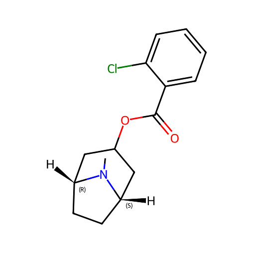 CN1[C@@H]2CC[C@H]1CC(OC(=O)c1ccccc1Cl)C2